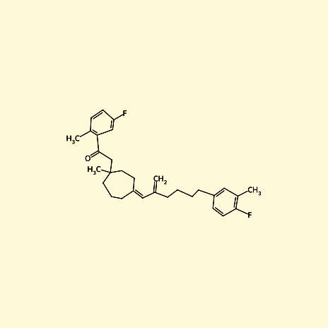 C=C(/C=C1/CCCC(C)(CC(=O)c2cc(F)ccc2C)CC1)CCCCc1ccc(F)c(C)c1